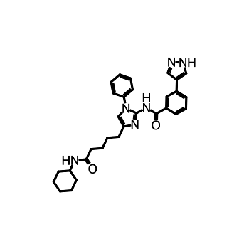 O=C(CCCCc1cn(-c2ccccc2)c(NC(=O)c2cccc(-c3cn[nH]c3)c2)n1)NC1CCCCC1